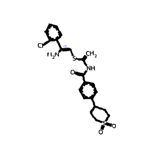 C=C(NC(=O)c1ccc(C2CCS(=O)(=O)CC2)cc1)S/C=C(\N)c1ccccc1Cl